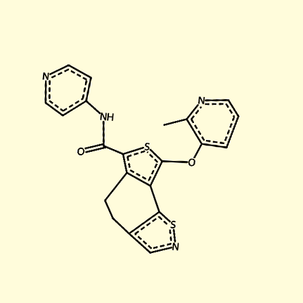 Cc1ncccc1Oc1sc(C(=O)Nc2ccncc2)c2c1-c1sncc1CC2